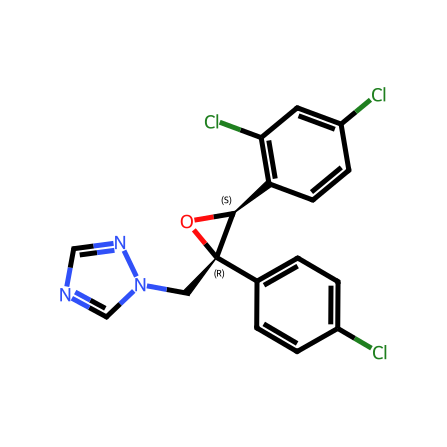 Clc1ccc([C@]2(Cn3cncn3)O[C@H]2c2ccc(Cl)cc2Cl)cc1